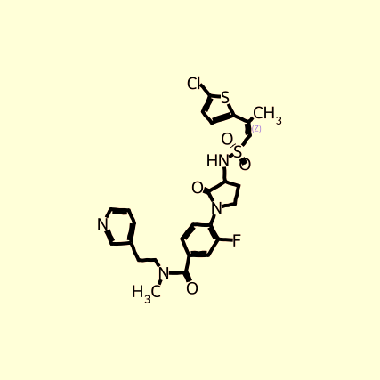 C/C(=C/S(=O)(=O)NC1CCN(c2ccc(C(=O)N(C)CCc3cccnc3)cc2F)C1=O)c1ccc(Cl)s1